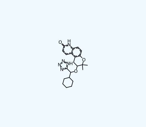 CC1(C)Oc2ccc3[nH]c(=O)ccc3c2CC1OC(c1nnn[nH]1)C1CCCCC1